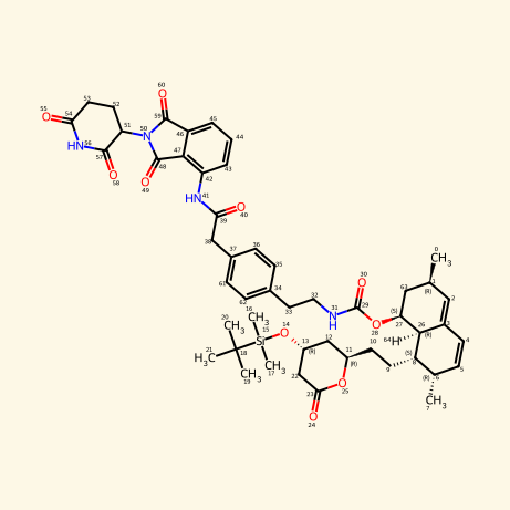 C[C@H]1C=C2C=C[C@H](C)[C@H](CC[C@@H]3C[C@@H](O[Si](C)(C)C(C)(C)C)CC(=O)O3)[C@H]2[C@@H](OC(=O)NCCc2ccc(CC(=O)Nc3cccc4c3C(=O)N(C3CCC(=O)NC3=O)C4=O)cc2)C1